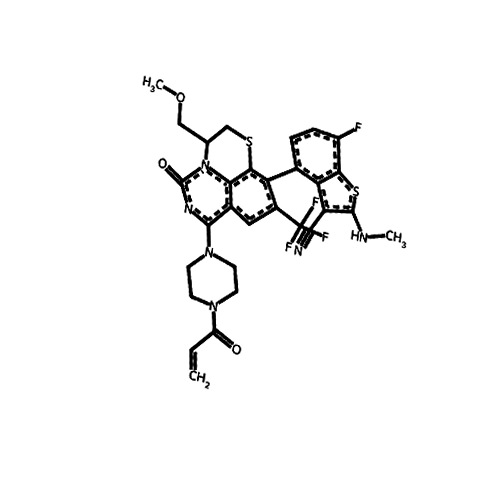 C=CC(=O)N1CCN(c2nc(=O)n3c4c(c(-c5ccc(F)c6sc(NC)c(C#N)c56)c(C(F)(F)F)cc24)SCC3COC)CC1